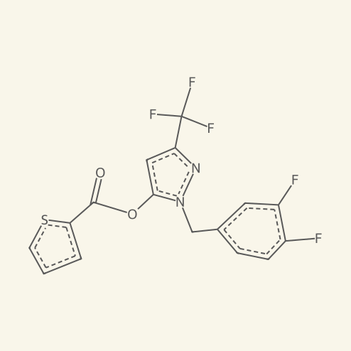 O=C(Oc1cc(C(F)(F)F)nn1Cc1ccc(F)c(F)c1)c1cccs1